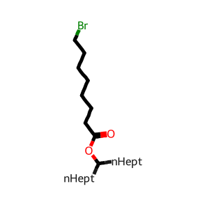 CCCCCCCC(CCCCCCC)OC(=O)CCCCCCCBr